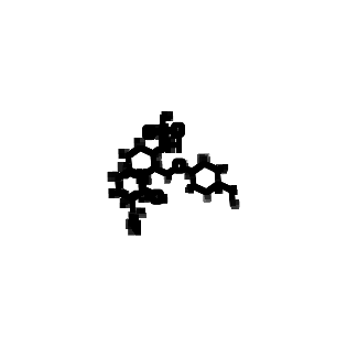 CCC1CCC(OCC2C(NS(C)(=O)=O)CCc3ccc(C#N)c(=O)n32)CC1